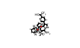 CS(=O)(=O)c1c([C@@H]2C[C@H]3CC[C@@H](C2)N3C(=O)c2cc[nH]n2)nc2c(-c3ccc(C(O)C(F)(F)F)nc3)cnn2c1N